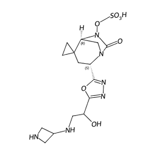 O=C1N2C[C@H](N1OS(=O)(=O)O)C1(CC1)C[C@H]2c1nnc(C(O)CNC2CNC2)o1